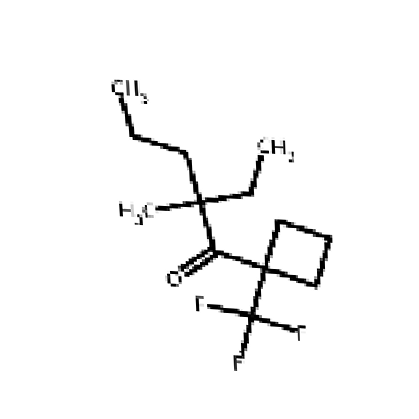 CCCC(C)(CC)C(=O)C1(C(F)(F)F)CCC1